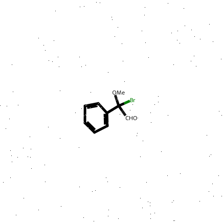 COC(Br)([C]=O)c1ccccc1